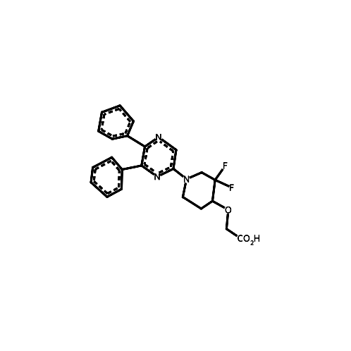 O=C(O)COC1CCN(c2cnc(-c3ccccc3)c(-c3ccccc3)n2)CC1(F)F